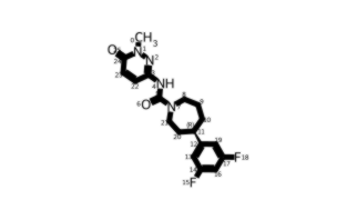 Cn1nc(NC(=O)N2CCC[C@@H](c3cc(F)cc(F)c3)CC2)ccc1=O